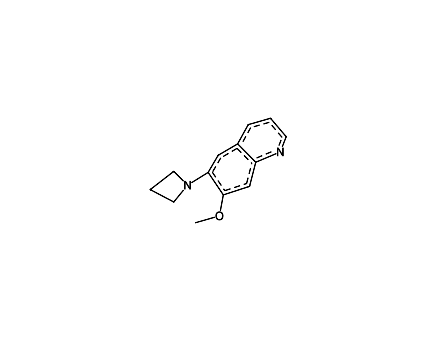 COc1cc2ncccc2cc1N1CCC1